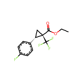 CCOC(=O)[C@@]1(C(F)(F)F)C[C@H]1c1ccc(F)cc1